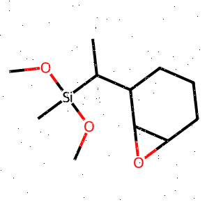 CO[Si](C)(OC)C(C)C1CCCC2OC21